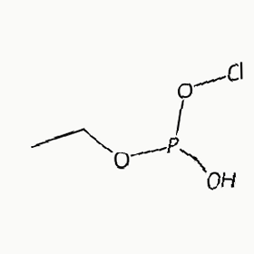 CCOP(O)OCl